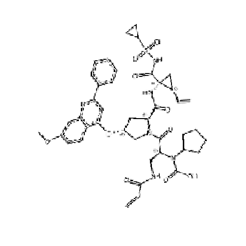 C=CC(=O)NC[C@@H](C(=O)N1C[C@H](Oc2cc(-c3ccccc3)nc3cc(OC)ccc23)C[C@H]1C(=O)N[C@]1(C(=O)NS(=O)(=O)C2CC2)C[C@H]1C=C)N(C(=O)O)C1CCCC1